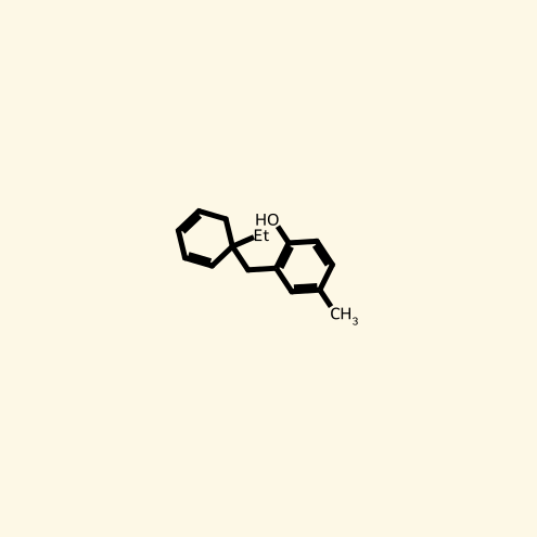 CCC1(Cc2cc(C)ccc2O)C=CC=CC1